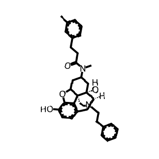 Cc1cccc(CCC(=O)N(C)C2CC3Oc4c(O)ccc5c4[C@@]34CCN(CCc3ccccc3)[C@H](C5)[C@]4(O)C2)c1